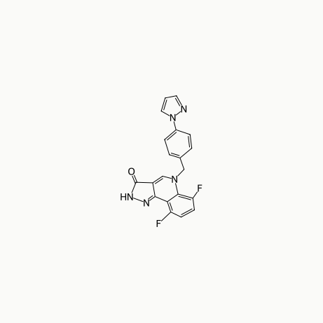 O=c1[nH]nc2c3c(F)ccc(F)c3n(Cc3ccc(-n4cccn4)cc3)cc1-2